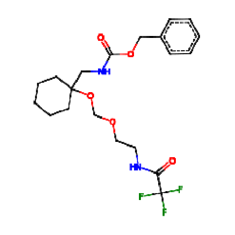 O=C(NCC1(OCOCCNC(=O)C(F)(F)F)CCCCC1)OCc1ccccc1